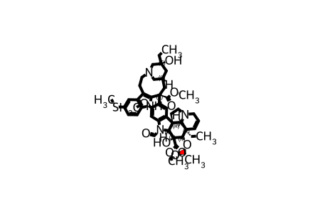 CC[C@]1(O)C[C@H]2CN(CCc3c([nH]c4ccc(SC)cc34)[C@@](C(=O)OC)(c3cc4c(cc3OC)N(C=O)[C@H]3[C@@](O)(C(=O)OC)[C@H](OC(C)=O)[C@]5(CC)C=CCN6CC[C@]43[C@@H]65)C2)C1